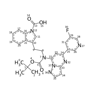 CC(C)(C)OC(=O)N(CCc1cn(C(=O)O)c2ccccc12)c1cc(-c2cncc(F)c2)nc2ccnn12